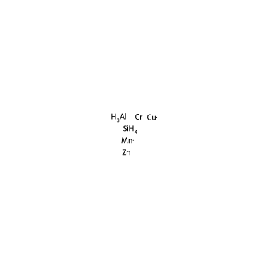 [AlH3].[Cr].[Cu].[Mn].[SiH4].[Zn]